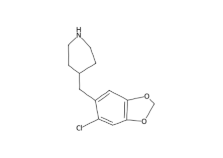 Clc1cc2c(cc1CC1CCNCC1)OCO2